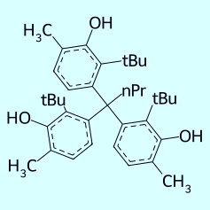 CCCC(c1ccc(C)c(O)c1C(C)(C)C)(c1ccc(C)c(O)c1C(C)(C)C)c1ccc(C)c(O)c1C(C)(C)C